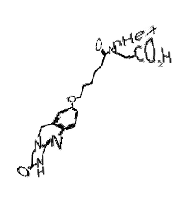 CCCCCCN(CC(=O)O)C(=O)CCCCCOc1ccc2c(c1)CN1CC(=O)NC1=N2